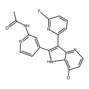 CC(=O)Nc1cc(-c2[nH]c3c(Cl)ccnc3c2-c2cccc(F)n2)ccn1